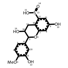 COc1ccc(C2Oc3cc(O)cc(S(=O)O)c3CC2O)cc1O